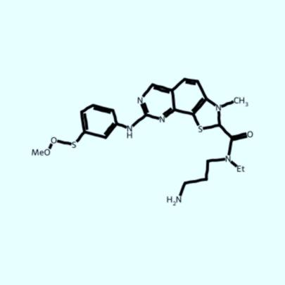 CCN(CCCN)C(=O)C1Sc2c(ccc3cnc(Nc4cccc(SOOC)c4)nc23)N1C